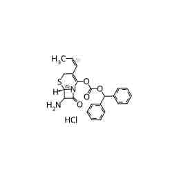 C/C=C\C1=C(OC(=O)OC(c2ccccc2)c2ccccc2)N2C(=O)C(N)[C@@H]2SC1.Cl